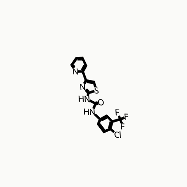 O=C(Nc1ccc(Cl)c(C(F)(F)F)c1)Nc1nc(-c2ccccn2)cs1